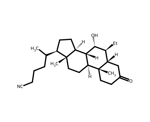 CC[C@@H]1[C@@H](O)[C@@H]2[C@H](CC[C@]3(C)[C@@H](C(C)CCCC#N)CC[C@@H]23)[C@@]2(C)CCC(=O)C[C@@H]12